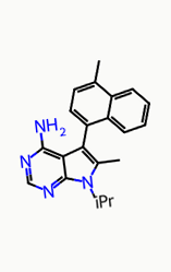 Cc1ccc(-c2c(C)n(C(C)C)c3ncnc(N)c23)c2ccccc12